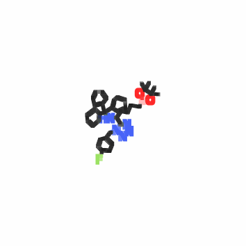 CC1(C)OB(CCCCC(NC(c2ccccc2)(c2ccccc2)c2ccccc2)c2nnnn2Cc2ccc(F)cc2)OC1(C)C